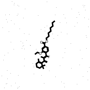 C=C(C1=C(C)CCCC1(C)C)/C(C)=C(\F)c1ccc(C(=O)OCCCCCCCC)cc1OCC